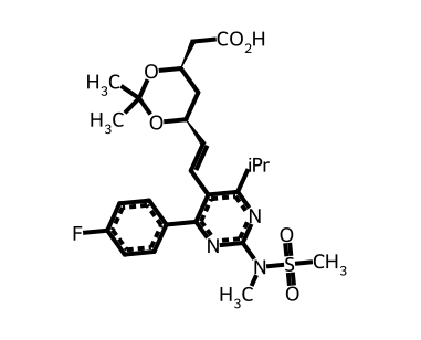 CC(C)c1nc(N(C)S(C)(=O)=O)nc(-c2ccc(F)cc2)c1/C=C/[C@@H]1C[C@H](CC(=O)O)OC(C)(C)O1